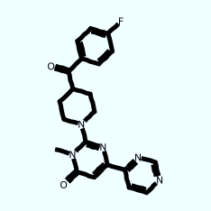 Cn1c(N2CCC(C(=O)c3ccc(F)cc3)CC2)nc(-c2ccncn2)cc1=O